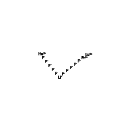 [F-].[F-].[F-].[F-].[F-].[F-].[F-].[F-].[F-].[F-].[Ho+3].[Li+].[Lu+3].[Pr+3]